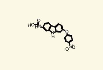 O=C(O)Nc1ccc2c(c1)[nH]c1cc(Oc3ccc([N+](=O)[O-])cc3)ccc12